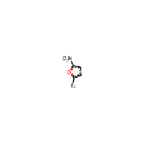 [CH2]Cc1ccc([N+](=O)[O-])o1